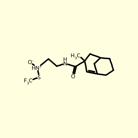 CC1(C(=O)NCC[NH+]([O-])SC(F)(F)F)C=C2CCCC(C2)C1